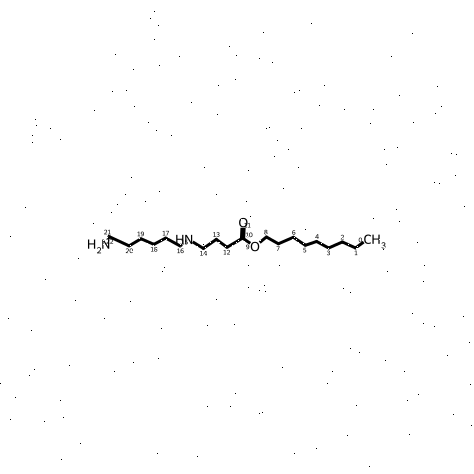 CCCCCCCCCOC(=O)CCCNCCCCCCN